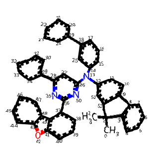 CC1(C)c2ccccc2-c2ccc(N(c3cccc(-c4ccccc4)c3)c3cc(-c4ccccc4)nc(-c4cccc5oc6ccccc6c45)n3)cc21